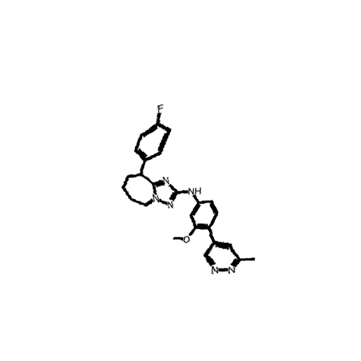 COc1cc(Nc2nc3n(n2)CCCCC3c2ccc(F)cc2)ccc1-c1cnnc(C)c1